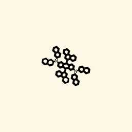 C1=CC2=C(CC1)CC(N(c1ccc3ccccc3c1)c1ccc3c(-c4cc5c(c6ccccc46)C=CCC5)c4cc(N(c5ccc6ccccc6c5)c5ccc6ccccc6c5)ccc4c(-c4cc5ccccc5c5ccccc45)c3c1)C=C2